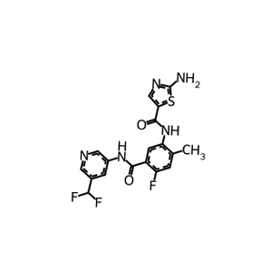 Cc1cc(F)c(C(=O)Nc2cncc(C(F)F)c2)cc1NC(=O)c1cnc(N)s1